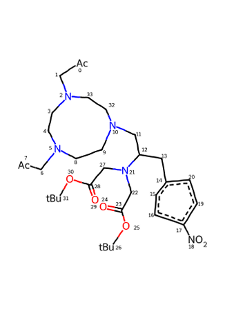 CC(=O)CN1CCN(CC(C)=O)CCN(CC(Cc2ccc([N+](=O)[O-])cc2)N(CC(=O)OC(C)(C)C)CC(=O)OC(C)(C)C)CC1